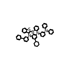 c1ccc(-c2cccc(N3c4cc(C5CCCCC5)cc5c4B(c4ccccc4N5c4cccc(N(c5ccccc5)c5ccccc5)c4)c4sc5ccccc5c43)c2)cc1